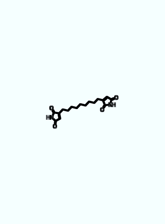 O=C1C=C(CCCCCCCCCC2=CC(=O)NC2=O)C(=O)N1